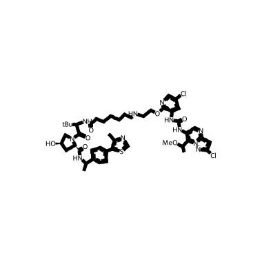 COC(C)c1c(NC(=O)Nc2cc(Cl)cnc2OCCNCCCCCCC(=O)NC(C(=O)N2C[C@H](O)C[C@H]2C(=O)NC(C)c2ccc(-c3scnc3C)cc2)C(C)(C)C)cnc2cc(Cl)nn12